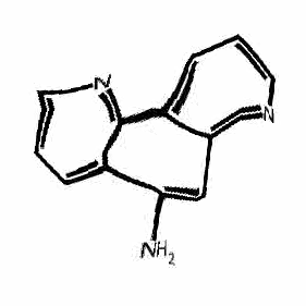 Nc1cc2ncccc2c2ncccc12